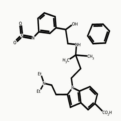 CCN(CC)CCc1cc2cc(C(=O)O)ccc2n1CCC(C)(C)NCC(O)c1cccc(N=S(=O)=O)c1.c1ccccc1